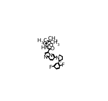 CC(C)(C)S(=O)(=O)NC(=O)c1cnc2ccc(N3CCC[C@@H]3c3cc(F)ccc3F)cn12